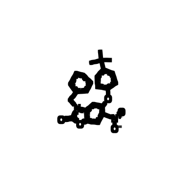 CC(C)(C)c1ccc(Oc2cc3c(cc2[N+](=O)[O-])oc(=O)n3Cc2ccccc2)cc1